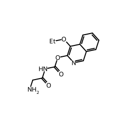 CCOc1c(OC(=O)NC(=O)CN)ncc2ccccc12